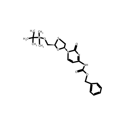 CC(C)(C)[Si](C)(C)OC[C@@H]1O[C@H](n2ccc(NC(=O)OCc3ccccc3)nc2=O)CS1